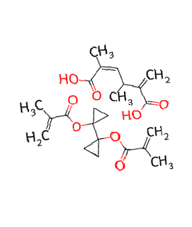 C=C(C(=O)O)C(C)C=C(C)C(=O)O.C=C(C)C(=O)OC1(C2(OC(=O)C(=C)C)CC2)CC1